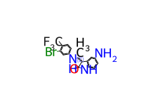 C/C(Nc1ccc(C(F)(F)F)c(Br)c1)=C1/C(=O)Nc2ccc(N)cc21